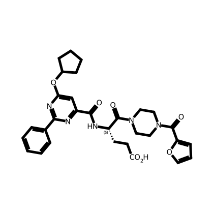 O=C(O)CC[C@H](NC(=O)c1cc(OC2CCCC2)nc(-c2ccccc2)n1)C(=O)N1CCN(C(=O)c2ccco2)CC1